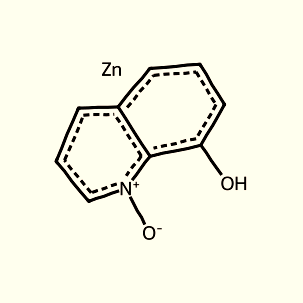 [O-][n+]1cccc2cccc(O)c21.[Zn]